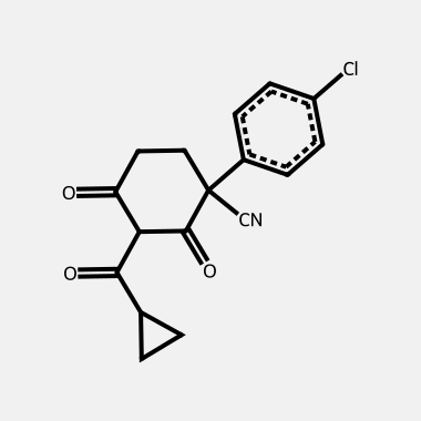 N#CC1(c2ccc(Cl)cc2)CCC(=O)C(C(=O)C2CC2)C1=O